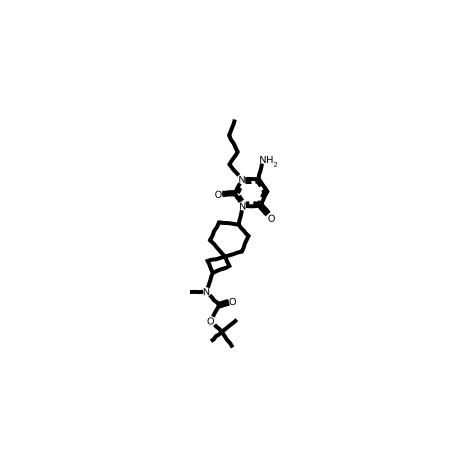 CCCCn1c(N)cc(=O)n(C2CCC3(CC2)CC(N(C)C(=O)OC(C)(C)C)C3)c1=O